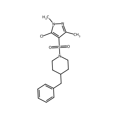 Cc1nn(C)c(Cl)c1S(=O)(=O)N1CCC(Cc2ccccc2)CC1